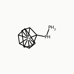 PP[C]12[CH]3[CH]4[CH]5[CH]1[Fe]45321678[CH]2[CH]1[CH]6[CH]7[CH]28